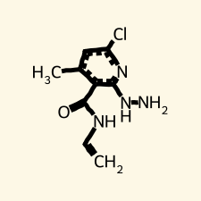 C=CNC(=O)c1c(C)cc(Cl)nc1NN